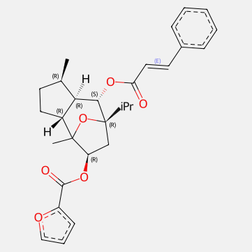 CC(C)[C@@]12C[C@@H](OC(=O)c3ccco3)C(C)(O1)[C@@H]1CC[C@@H](C)[C@H]1[C@@H]2OC(=O)/C=C/c1ccccc1